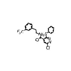 O=C(NCCc1cccc(C(F)(F)F)c1)c1cc(Cl)nnc1Sc1ccccc1